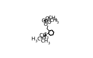 COP(=O)(OC)OCCc1ccccc1SSC(C)(C)C